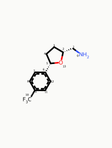 NC[C@H]1CC[C@@H](c2ccc(C(F)(F)F)cc2)O1